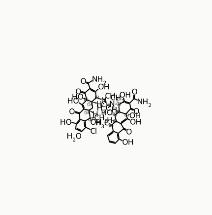 CN(C)[C@@H]1C(O)=C(C(N)=O)C(=O)[C@@]2(O)C(O)=C3C(=O)c4c(O)ccc(Cl)c4[C@@](C)(O)[C@H]3C[C@@H]12.C[C@H]1c2cccc(O)c2C(=O)C2=C(O)[C@]3(O)C(=O)C(C(N)=O)=C(O)[C@@H](N(C)C)[C@@H]3[C@@H](O)[C@@H]21.O